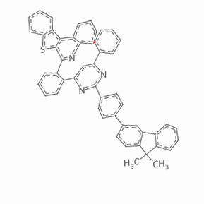 CC1(C)c2ccccc2-c2cc(-c3ccc(-c4nc(-c5ccccc5)cc(-c5ccccc5-c5nc6ccccc6c6c5sc5ccccc56)n4)cc3)ccc21